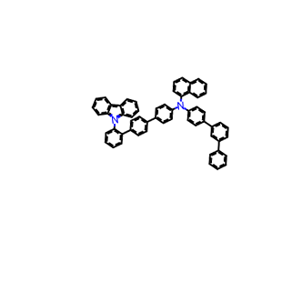 c1ccc(-c2cccc(-c3ccc(N(c4ccc(-c5ccc(-c6ccccc6-n6c7ccccc7c7ccccc76)cc5)cc4)c4cccc5ccccc45)cc3)c2)cc1